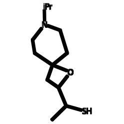 CC(S)C1CC2(CCN(C(C)C)CC2)O1